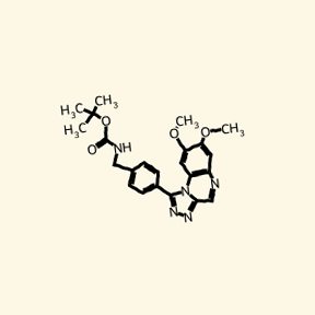 COc1cc2ncc3nnc(-c4ccc(CNC(=O)OC(C)(C)C)cc4)n3c2cc1OC